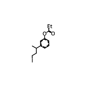 CCC(=O)Oc1cccc(C(C)CCI)c1